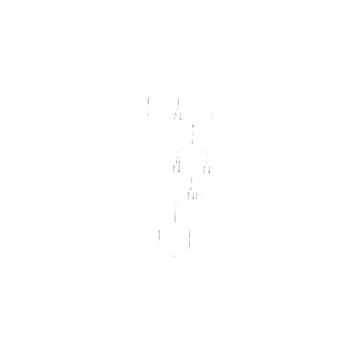 CC1CCN(C(=O)c2cnc(NCC3CCCCC3)nc2)CC1